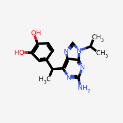 CC(c1ccc(O)c(O)c1)c1nc(N)nc2c1ncn2C(C)C